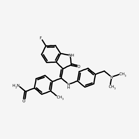 Cc1cc(C(N)=O)ccc1/C(Nc1ccc(CN(C)C)cc1)=C1/C(=O)Nc2cc(F)ccc21